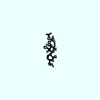 CC(C)OP1(=S)OC[C@H]2O[C@@H](n3ccc(N)nc3=O)[C@](F)(Cl)[C@@H]2O1